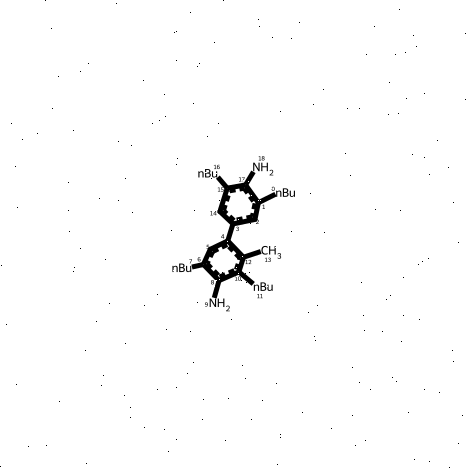 CCCCc1cc(-c2cc(CCCC)c(N)c(CCCC)c2C)cc(CCCC)c1N